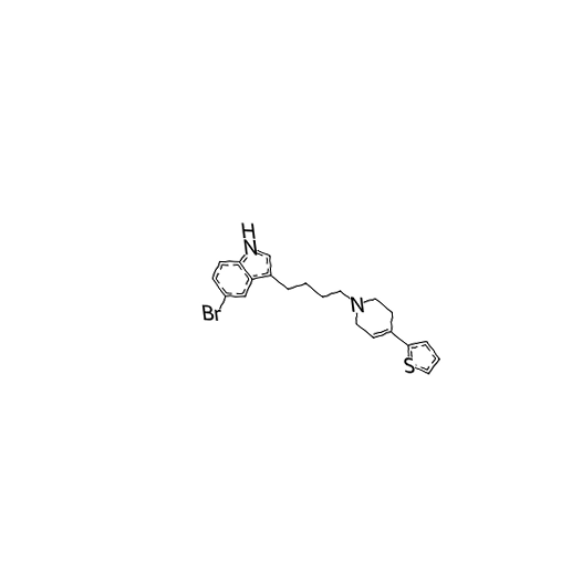 Brc1ccc2[nH]cc(CCCCN3CC=C(c4cccs4)CC3)c2c1